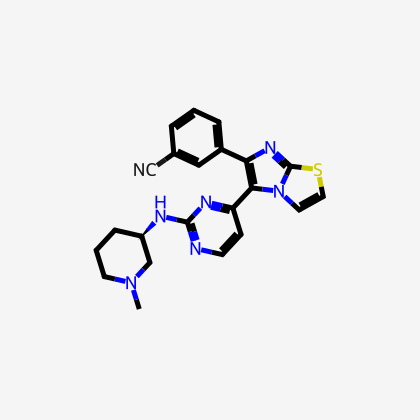 CN1CCC[C@@H](Nc2nccc(-c3c(-c4cccc(C#N)c4)nc4sccn34)n2)C1